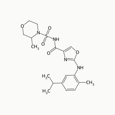 Cc1ccc(C(C)C)cc1Nc1nc(C(=O)NS(=O)(=O)N2CCOCC2C)co1